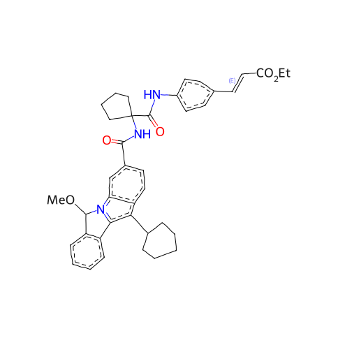 CCOC(=O)/C=C/c1ccc(NC(=O)C2(NC(=O)c3ccc4c(C5CCCCC5)c5n(c4c3)C(OC)c3ccccc3-5)CCCC2)cc1